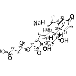 C[C@H]1C[C@@H]2[C@H]([C@@H](O)C[C@@]3(C)[C@H]2CC[C@]3(O)C(=O)COC(=O)CCC(=O)O)[C@@]2(C)C=CC(=O)C=C12.[NaH]